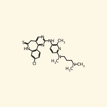 Cc1nc(N(C)CCCN(C)C)ccc1Nc1ncc2c(n1)-c1ccc(Cl)cc1NC(=S)C2